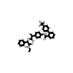 CCNC(=O)C(OC(=O)C(C)c1ccc(NC(=O)c2ccccc2-c2ccc(C(F)(F)F)cc2)cc1)c1ccccc1